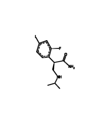 CC(C)NC[C@H](C(N)=O)c1ccc(I)cc1F